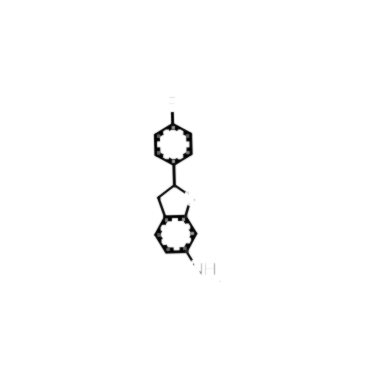 Nc1ccc2c(c1)SC(c1ccc(F)cc1)C2